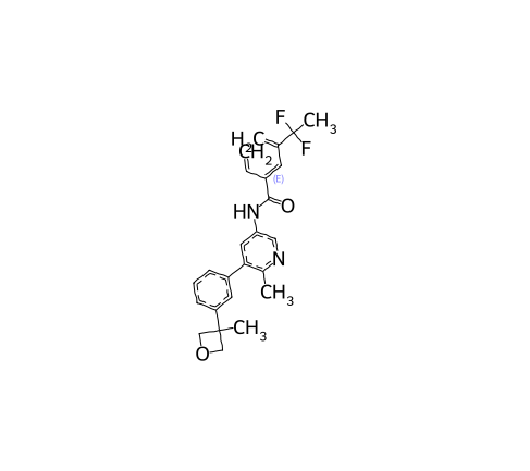 C=C/C(=C\C(=C)C(C)(F)F)C(=O)Nc1cnc(C)c(-c2cccc(C3(C)COC3)c2)c1